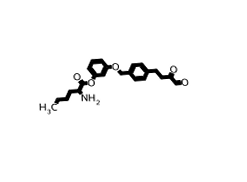 CCCCC(N)C(=O)Oc1cccc(OCc2ccc(CCC(=O)C=O)cc2)c1